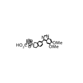 COc1cc2ncnc(-c3ccc4c(c3)CN(S(=O)(=O)N(C(=O)O)C(C)(C)C)CC4)c2cc1OC